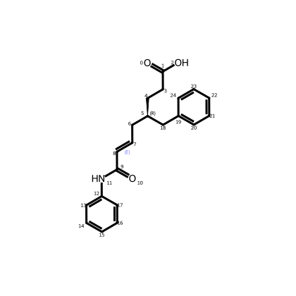 O=C(O)CC[C@H](C/C=C/C(=O)Nc1ccccc1)Cc1ccccc1